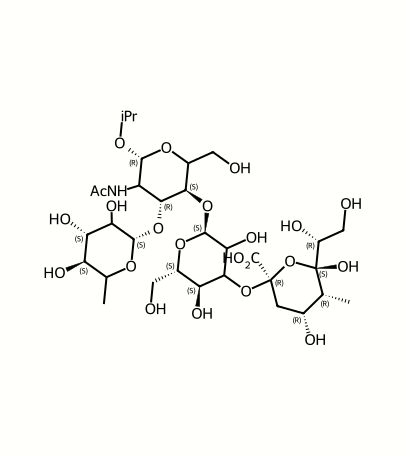 CC(=O)NC1[C@H](OC(C)C)OC(CO)[C@@H](O[C@@H]2O[C@@H](CO)[C@H](O)C(O[C@]3(C(=O)O)C[C@@H](O)[C@@H](C)[C@@](O)([C@H](O)CO)O3)C2O)[C@@H]1O[C@@H]1OC(C)[C@@H](O)[C@H](O)C1O